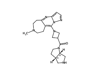 CN1CCc2nc3ccnn3c(N3CC(C(=O)N4CC[C@H]5CNC[C@H]54)C3)c2CC1